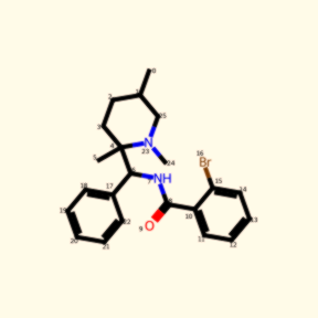 CC1CCC(C)(C(NC(=O)c2ccccc2Br)c2ccccc2)N(C)C1